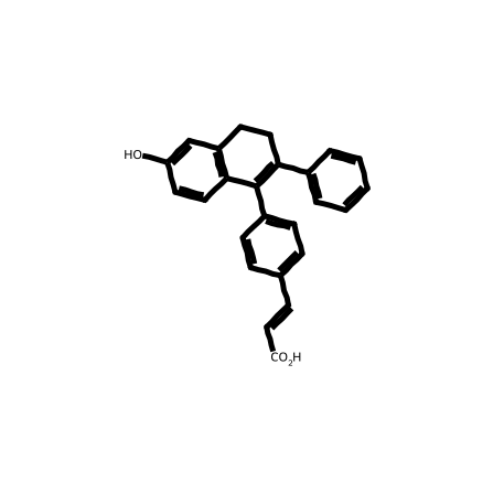 O=C(O)C=Cc1ccc(C2=C(c3ccccc3)CCc3cc(O)ccc32)cc1